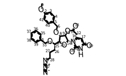 COc1ccc(CO[C@@H]2C(OC(C)=O)[C@H](n3ccc(=O)[nH]c3=O)O[C@@H]2[C@@H](CCCN=[N+]=[N-])OCc2ccccc2)cc1